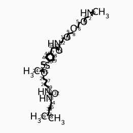 CNCCOCCOCCOCCNC(=O)Cc1ccc(SSC(C)OCCCCNC(=O)NCC#CC(C)C)cc1